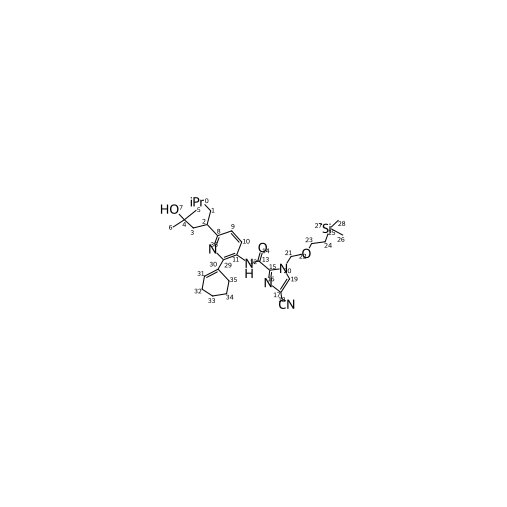 CC(C)CC(CC(C)(C)O)c1ccc(NC(=O)c2nc(C#N)cn2COCC[Si](C)(C)C)c(C2=CCCCC2)n1